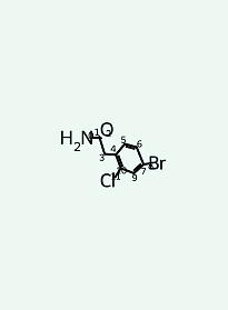 NC(=O)Cc1ccc(Br)cc1Cl